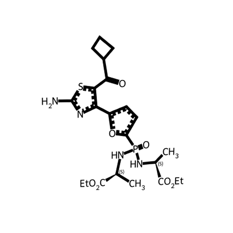 CCOC(=O)[C@H](C)NP(=O)(N[C@@H](C)C(=O)OCC)c1ccc(-c2nc(N)sc2C(=O)C2CCC2)o1